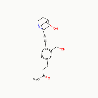 COC(=O)CCc1ccc(C#CC2C(O)C3CCN2CC3)c(CO)c1